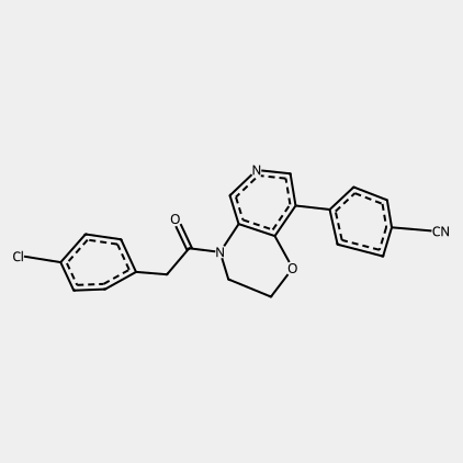 N#Cc1ccc(-c2cncc3c2OCCN3C(=O)Cc2ccc(Cl)cc2)cc1